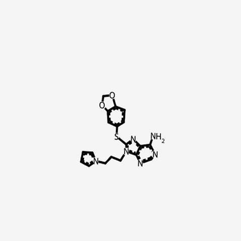 Nc1ncnc2c1nc(Sc1ccc3c(c1)OCO3)n2CCCn1cccc1